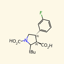 CC(C)(C)C1[C@H](C(=O)O)[C@@H](c2cccc(F)c2)CN1C(=O)O